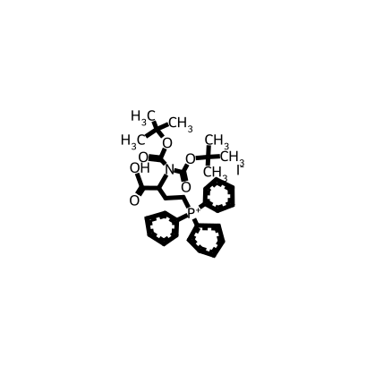 CC(C)(C)OC(=O)N(C(=O)OC(C)(C)C)C(CC[P+](c1ccccc1)(c1ccccc1)c1ccccc1)C(=O)O.[I-]